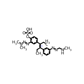 CC/C(=C(/CC)c1ccc(OS(=O)(=O)O)c(N=NN(C)C)c1)c1cccc(N=NCNC)c1